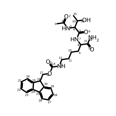 CC(=O)NC(C(=O)NC(CCCCNC(=O)OCC1c2ccccc2-c2ccccc21)C(N)=O)C(C)O